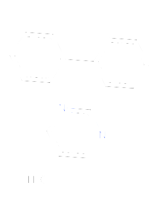 Cc1cnc(-c2ccccc2-c2ccccc2)nc1